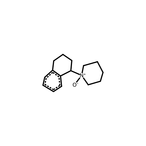 [O-][N+]1(C2CCCc3ccccc32)CCCCC1